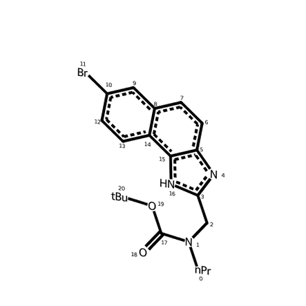 CCCN(Cc1nc2ccc3cc(Br)ccc3c2[nH]1)C(=O)OC(C)(C)C